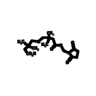 CC(C)(COCC(C)(C)CC(=O)OCN1C(=O)CCC1=O)CC(=O)O